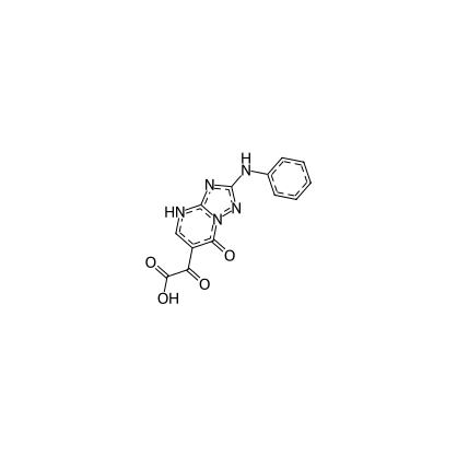 O=C(O)C(=O)c1c[nH]c2nc(Nc3ccccc3)nn2c1=O